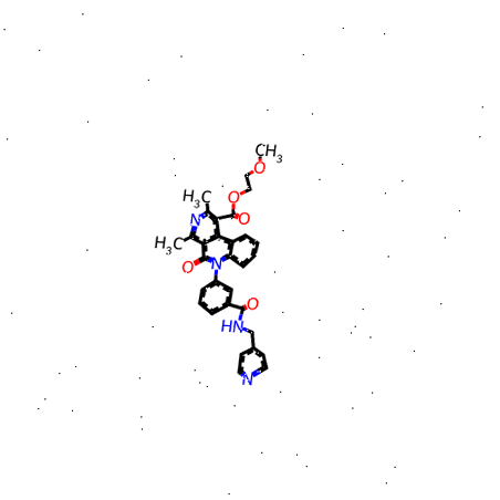 COCCOC(=O)c1c(C)nc(C)c2c(=O)n(-c3cccc(C(=O)NCc4ccncc4)c3)c3ccccc3c12